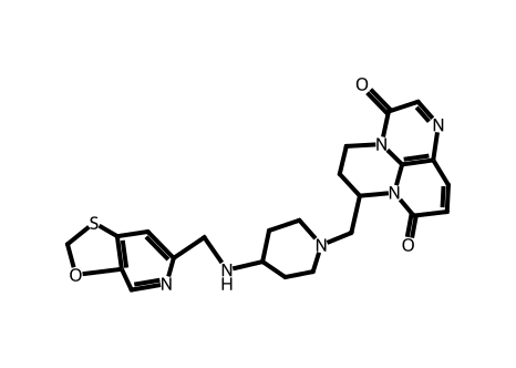 O=c1cnc2ccc(=O)n3c2n1CCC3CN1CCC(NCc2cc3c(cn2)OCS3)CC1